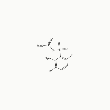 CO[PH](=O)OS(=O)(=O)c1c(F)ccc(F)c1C